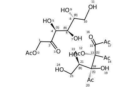 CC(=O)OCC(=O)[C@@H](O)[C@H](O)[C@H](O)CO.CC(=O)O[C@@](C(C)=O)(C(=O)C(C)=O)[C@](O)(C(C)=O)[C@H](O)CO